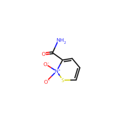 NC(=O)C1=CC=CS[N+]1([O-])[O-]